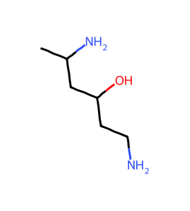 CC(N)CC(O)CCN